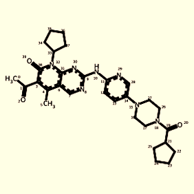 CC(=O)c1c(C)c2cnc(Nc3ccc(N4CCN(C(=O)C5CCCC5)CC4)cn3)nc2n(C2CCCC2)c1=O